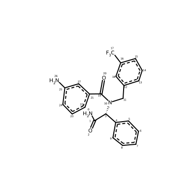 NC(=O)[C@@H](c1ccccc1)N(Cc1cccc(C(F)(F)F)c1)C(=O)c1cccc(N)c1